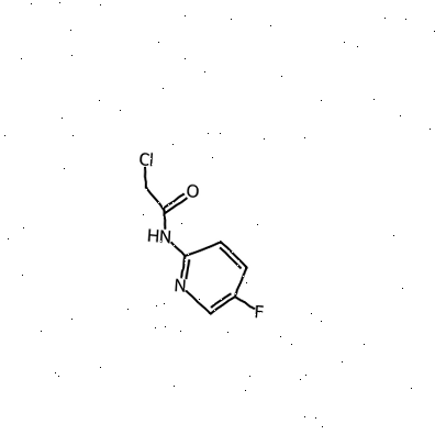 O=C(CCl)Nc1ccc(F)cn1